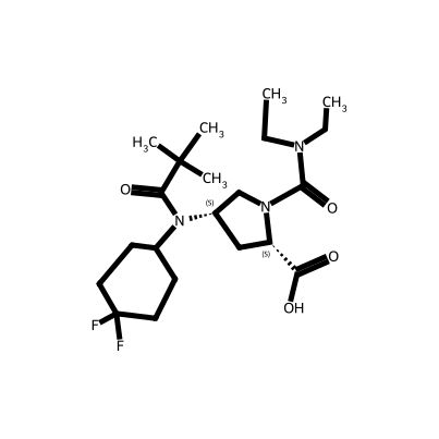 CCN(CC)C(=O)N1C[C@@H](N(C(=O)C(C)(C)C)C2CCC(F)(F)CC2)C[C@H]1C(=O)O